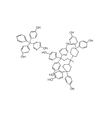 CC(CCC(c1ccc(O)cc1)(c1ccc(O)cc1)c1ccc(O)cc1)(C1CCC(c2ccc(O)cc2)(c2ccc(O)cc2)CC1)C1CCC(c2ccc(O)cc2)(c2ccc(O)cc2)CC1.Oc1ccc(C(c2ccccc2)(c2ccc(O)cc2)c2ccc(O)cc2)cc1